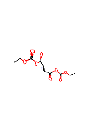 CCOC(=O)OC(=O)/C=C/C(=O)OC(=O)OCC